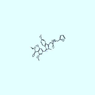 CCOC(=O)c1c(OC)cc(/C=C2/C(C)=C(CC(=O)NCc3ccco3)c3cc(OC)ccc32)cc1OC